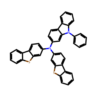 c1ccc(-n2c3ccccc3c3ccc(N(c4ccc5c(c4)sc4ccccc45)c4ccc5c(c4)sc4ccccc45)cc32)cc1